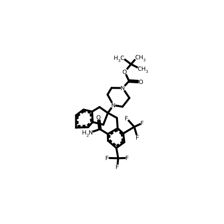 CC(C)(C)OC(=O)N1CCN(C2(Cc3c(C(N)=O)cc(C(F)(F)F)cc3C(F)(F)F)Cc3ccccc3C2)CC1